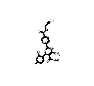 C#CCNC(=O)c1ccc(C2=NC(c3ccc(F)cc3Cl)C(C(=O)OC)=C(C)N2)nc1